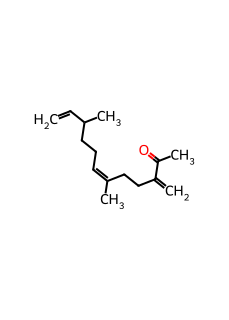 C=CC(C)CCC=C(C)CCC(=C)C(C)=O